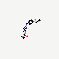 C#CCOc1ccc(CN2CC3(C2)CN(C(=O)OC(C)(C)C)C3)cc1